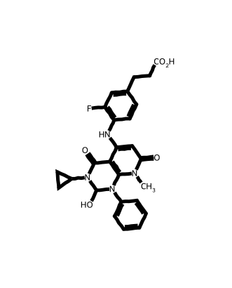 Cn1c2c(c(Nc3ccc(CCC(=O)O)cc3F)cc1=O)C(=O)N(C1CC1)C(O)N2c1ccccc1